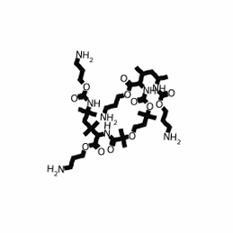 CC(CC(C)C(NC(=O)OC(C)(C)CCOC(C)(C)C(=O)NC(C(=O)OCCCN)C(C)(C)CC(C)(C)NC(=O)OCCCN)C(=O)OCCCN)NC(=O)OCCCN